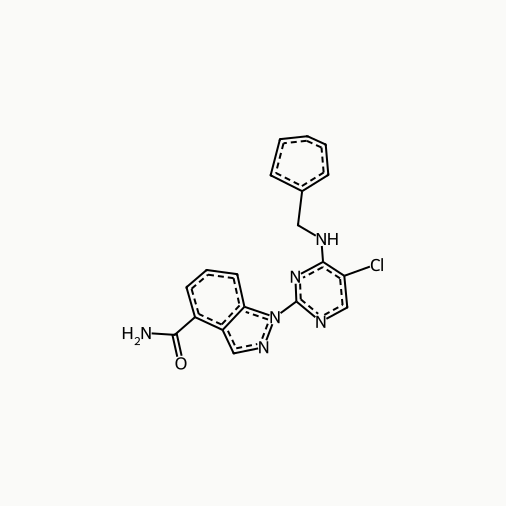 NC(=O)c1cccc2c1cnn2-c1ncc(Cl)c(NCc2ccccc2)n1